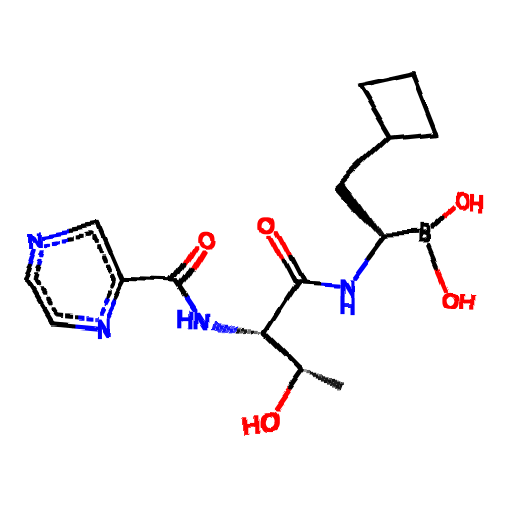 C[C@H](O)[C@H](NC(=O)c1cnccn1)C(=O)N[C@@H](CC1CCC1)B(O)O